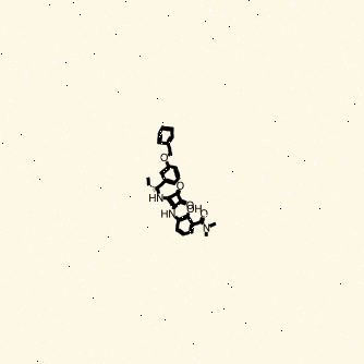 CC[C@@H](Nc1c(Nc2cccc(C(=O)N(C)C)c2O)c(=O)c1=O)c1cccc(OCc2ccccc2)c1